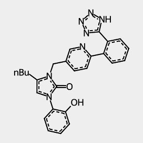 CCCCc1cn(-c2ccccc2O)c(=O)n1Cc1ccc(-c2ccccc2-c2nnn[nH]2)nc1